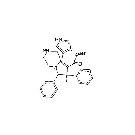 COC(=O)C(=Cc1c[nH]cn1)C(C)(c1ccccc1)C(c1ccccc1)N1CCNCC1